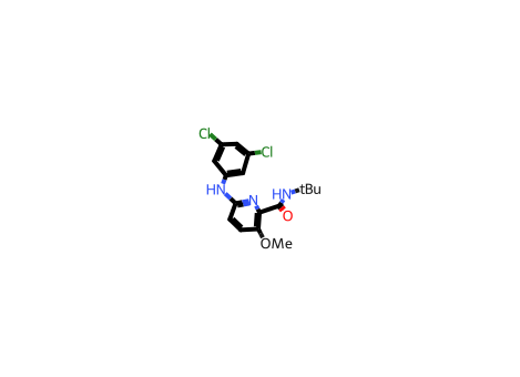 COc1ccc(Nc2cc(Cl)cc(Cl)c2)nc1C(=O)NC(C)(C)C